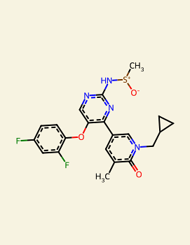 Cc1cc(-c2nc(N[S+](C)[O-])ncc2Oc2ccc(F)cc2F)cn(CC2CC2)c1=O